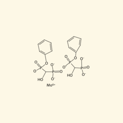 O=P([O-])([O-])C(O)P(=O)([O-])Oc1ccccc1.O=P([O-])([O-])C(O)P(=O)([O-])Oc1ccccc1.[Mo+6]